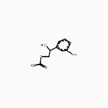 CC(COC(N)=O)c1cccc(N)c1